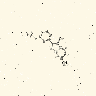 CCc1cccc(C2Cc3cc(C)ccc3C2=O)c1